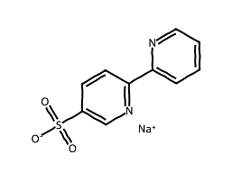 O=S(=O)([O-])c1ccc(-c2ccccn2)nc1.[Na+]